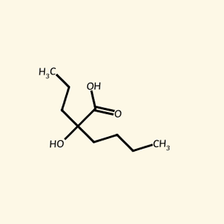 CCCCC(O)(CCC)C(=O)O